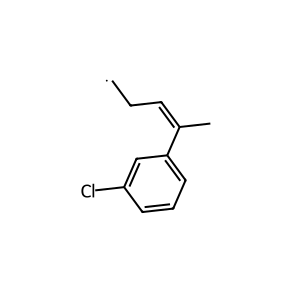 [CH2]C/C=C(/C)c1cccc(Cl)c1